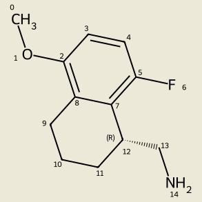 COc1ccc(F)c2c1CCC[C@H]2CN